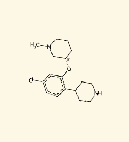 CN1CCC[C@H](Oc2cc(Cl)ccc2C2CCNCC2)C1